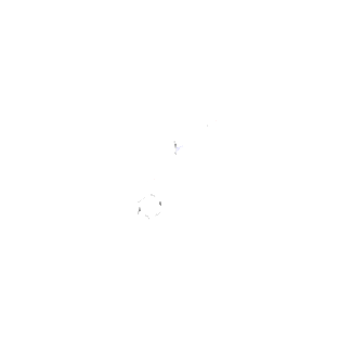 CCOC(C)(C)CC/C(C)=C/CCOc1ccc2c(c1)OC(C)C2